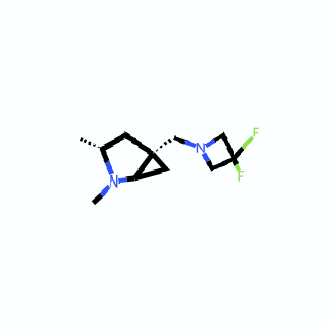 C[C@@H]1C[C@@]2(CN3CC(F)(F)C3)CC2N1C